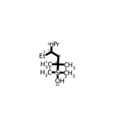 CCCC(CC)CC(C)(C)[Si](C)(C)O